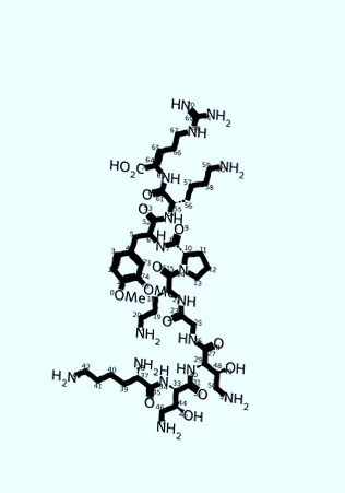 COc1ccc(CC(NC(=O)[C@@H]2CCCN2C(=O)[C@@H](CCCN)NC(=O)CNC(=O)[C@@H](NC(=O)[C@@H](NC(=O)[C@@H](N)CCCCN)[C@@H](O)CN)[C@@H](O)CN)C(=O)N[C@@H](CCCCN)C(=O)N/C(=C\CCNC(=N)N)C(=O)O)cc1OC